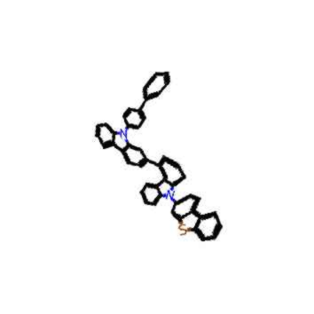 c1ccc(-c2ccc(-n3c4ccccc4c4ccc(-c5cccc6c5c5ccccc5n6-c5ccc6c(c5)sc5ccccc56)cc43)cc2)cc1